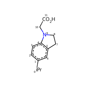 CC(C)c1ccc2c(c1)CCN2CC(=O)O